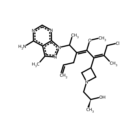 C=CC/C(=C(OC)\C(=C(\C)CCl)C1CN(C[C@H](C)O)C1)C(C)n1nc(C)c2c(N)ncnc21